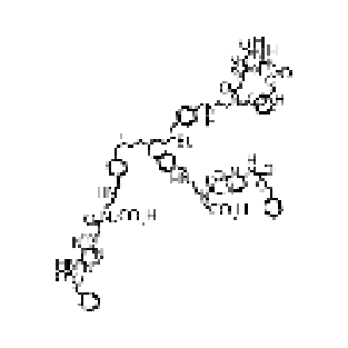 CCC(CCC(CCC(C)Cc1ccc(CNCCN(CC(=O)O)C(=O)Cn2cnc3c(NC(=O)OCc4ccccc4)ncnc32)cc1)Cc1ccc(CNCCN(CC(=O)O)C(=O)Cn2ccc(NC(=O)OCc3ccccc3)nc2=O)cc1)Cc1ccc(CNCCN(CC(=O)O)C(=O)Cn2cnc3c(=O)[nH]c(NC(=O)OCc4ccccc4)nc32)cc1